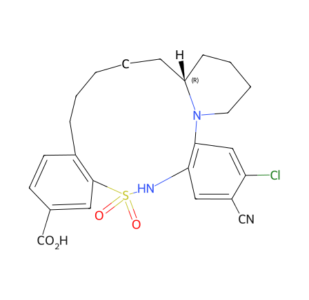 N#Cc1cc2c(cc1Cl)N1CCCC[C@H]1CCCCCc1ccc(C(=O)O)cc1S(=O)(=O)N2